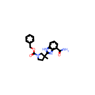 CC1(c2nc3c(C(N)=O)cccc3[nH]2)CCN(C(=O)OCc2ccccc2)C1